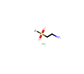 CC(C)S(=O)(=O)CCN.Cl